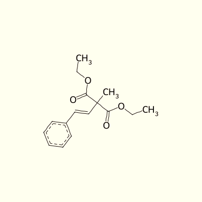 CCOC(=O)C(C)(C=Cc1ccccc1)C(=O)OCC